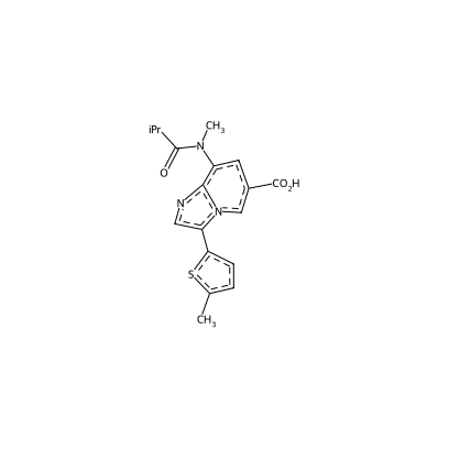 Cc1ccc(-c2cnc3c(N(C)C(=O)C(C)C)cc(C(=O)O)cn23)s1